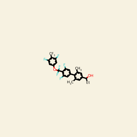 CCC(O)c1cc(C)c(-c2cc(F)c(C(F)(F)Oc3cc(F)c(C(F)(F)F)c(F)c3)c(F)c2)c(C)c1